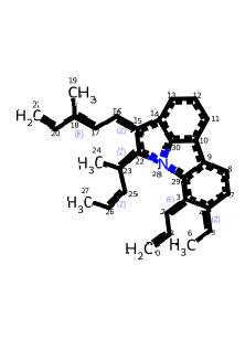 C=C/C=c1\c(=C/C)ccc2c3cccc4c(=C/C=C(\C)C=C)/c(=C(C)/C=C\C)n(c12)c43